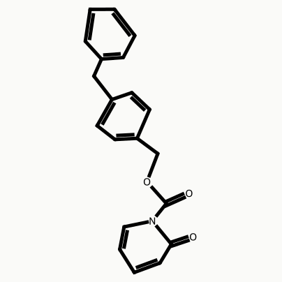 O=C(OCc1ccc(Cc2ccccc2)cc1)n1ccccc1=O